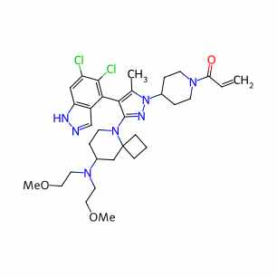 C=CC(=O)N1CCC(n2nc(N3CCC(N(CCOC)CCOC)CC34CCC4)c(-c3c(Cl)c(Cl)cc4[nH]ncc34)c2C)CC1